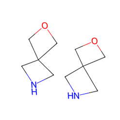 C1NCC12COC2.C1NCC12COC2